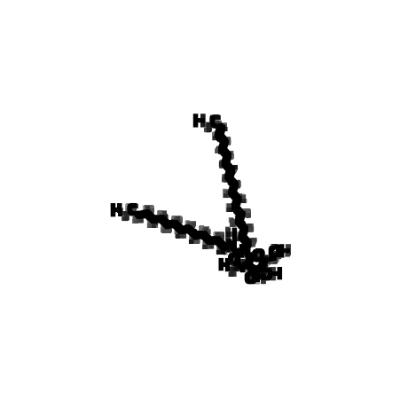 CCCCCCCCCCCCCCCCCCN(C(=O)NCCCCCCCCCCCCCC)[C@@H]1O[C@H](CO)[C@H](O)[C@H](O)[C@H]1N